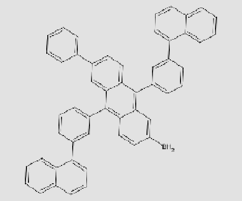 Bc1ccc2c(-c3cccc(-c4cccc5ccccc45)c3)c3cc(-c4ccccc4)ccc3c(-c3cccc(-c4cccc5ccccc45)c3)c2c1